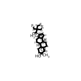 CC1(O)CC[C@@]2(C)C(CC[C@H]3[C@@H]4CC[C@H](C(=O)C(CF)(CF)CF)[C@@]4(C)CC[C@@H]32)C1